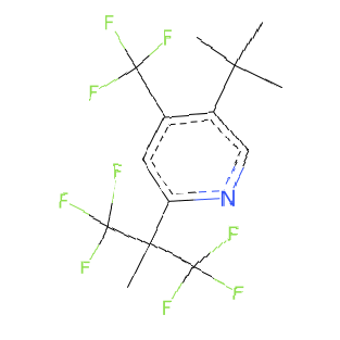 CC(C)(C)c1cnc(C(C)(C(F)(F)F)C(F)(F)F)cc1C(F)(F)F